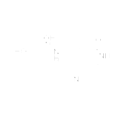 Cn1cc(C2=C(c3cccc(N[C@H](O)CCO)c3)C(=O)NC2=O)c2ccccc21